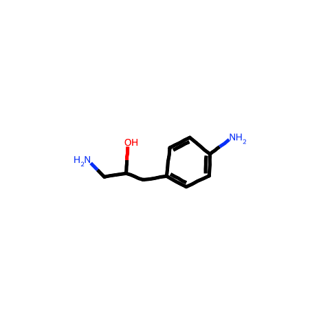 NCC(O)Cc1ccc(N)cc1